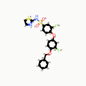 O=S(=O)(Nc1nccs1)c1ccc(Oc2ccc(OCc3ccccc3)c(F)c2)c(F)c1